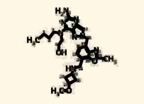 CCCCN(CCO)c1nc(N)nc2cn(Cc3ccc(CNC4CC(OC)C4)c4oc(C)nc34)nc12